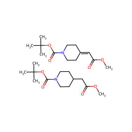 COC(=O)C=C1CCN(C(=O)OC(C)(C)C)CC1.COC(=O)CC1CCN(C(=O)OC(C)(C)C)CC1